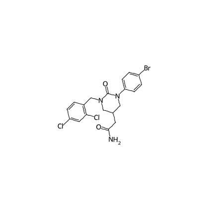 NC(=O)CC1CN(Cc2ccc(Cl)cc2Cl)C(=O)N(c2ccc(Br)cc2)C1